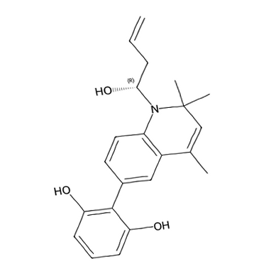 C=CC[C@@H](O)N1c2ccc(-c3c(O)cccc3O)cc2C(C)=CC1(C)C